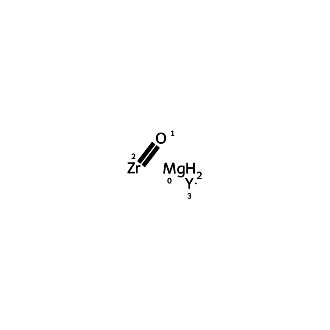 [MgH2].[O]=[Zr].[Y]